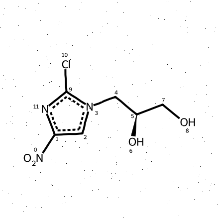 O=[N+]([O-])c1cn(C[C@H](O)CO)c(Cl)n1